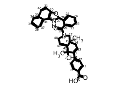 CC1(C)C(c2ccc(C(=O)O)cc2)=CC[C@@]2(C)CN(C(=O)c3ccccc3C3Nc4c(ccc5ccccc45)O3)CC=C12